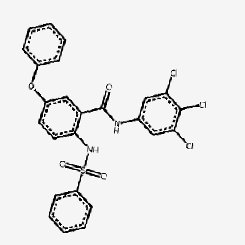 O=C(Nc1cc(Cl)c(Cl)c(Cl)c1)c1cc(Oc2ccccc2)ccc1NS(=O)(=O)c1ccccc1